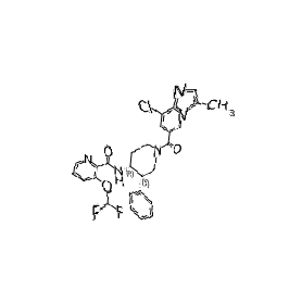 Cc1cnc2c(Cl)cc(C(=O)N3CC[C@@H](NC(=O)c4ncccc4OC(F)F)[C@@H](c4ccccc4)C3)cn12